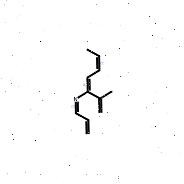 C=C\C=N/C(=C/C=C\C)C(=C)C